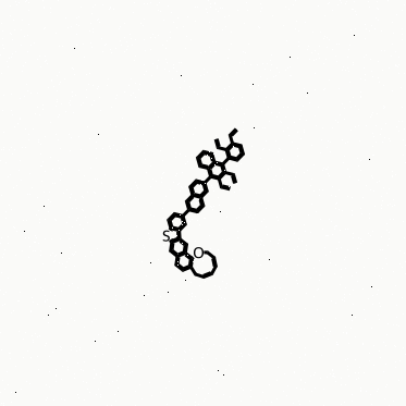 C=Cc1cccc(-c2c(C=C)c(C=C)c(-c3ccc4cc(-c5ccc6sc7cc8ccc9c(c8cc7c6c5)OC/C=C\C=C/C9)ccc4c3)c3ccccc23)c1C=C